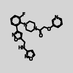 O=C(COc1cccnc1)N1CCN(c2c(F)cccc2-c2cc(CNc3ccon3)on2)CC1